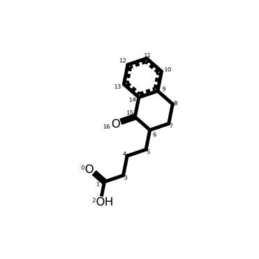 O=C(O)CCCC1CCc2ccccc2C1=O